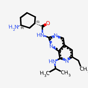 CCc1cc2cnc(NC(=O)[C@H]3CCC[C@@H](N)C3)nc2c(NC(C)C)n1